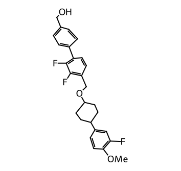 COc1ccc(C2CCC(OCc3ccc(-c4ccc(CO)cc4)c(F)c3F)CC2)cc1F